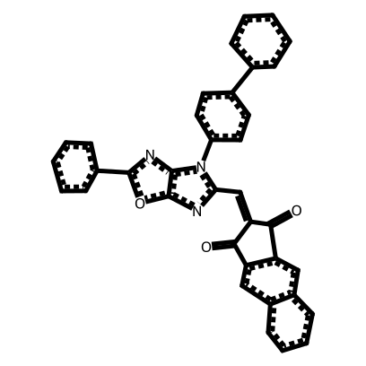 O=C1C(=Cc2nc3oc(-c4ccccc4)nc3n2-c2ccc(-c3ccccc3)cc2)C(=O)c2cc3ccccc3cc21